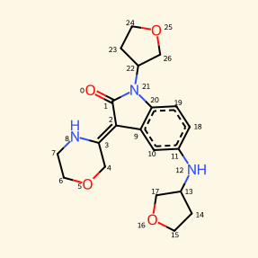 O=C1/C(=C2/COCCN2)c2cc(NC3CCOC3)ccc2N1C1CCOC1